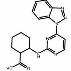 O=C(O)C1CCCCC1Nc1nccc(-n2nnc3ccccc32)n1